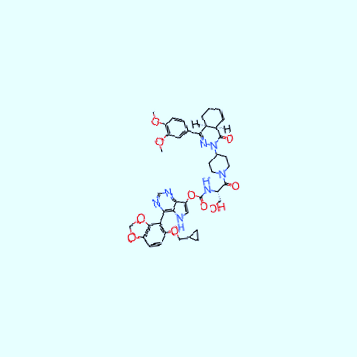 COc1ccc(C2=NN(C3CCN(C(=O)[C@H](CO)NC(=O)Oc4c[nH]c5c(-c6c(OCC7CC7)ccc7c6OCO7)ncnc45)CC3)C(=O)[C@@H]3CCCC[C@H]23)cc1OC